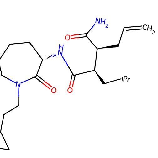 C=CC[C@H](C(N)=O)[C@@H](CC(C)C)C(=O)N[C@H]1CCCCN(CCC2CC2)C1=O